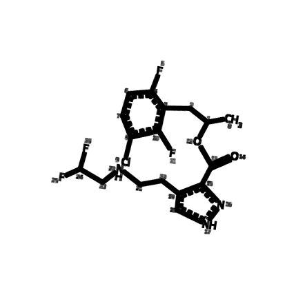 CC(Cc1c(F)ccc(Cl)c1F)OC(=O)c1n[nH]cc1CCNCC(F)F